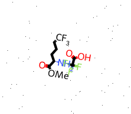 COC(=O)[C@@H](N)CCCC(F)(F)F.O=C(O)C(F)(F)F